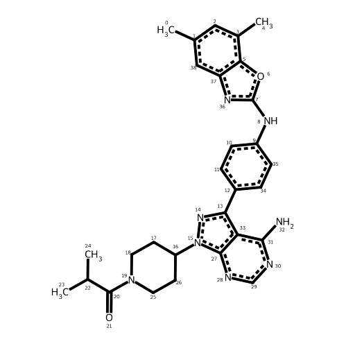 Cc1cc(C)c2oc(Nc3ccc(-c4nn(C5CCN(C(=O)C(C)C)CC5)c5ncnc(N)c45)cc3)nc2c1